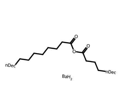 CCCCCCCCCCCCCCCCCC(=O)OC(=O)CCCCCCCCCCCCC.[BaH2]